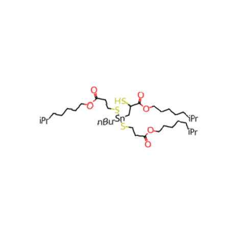 CCC[CH2][Sn]([CH2]C(S)C(=O)OCCCCCC(C)C)([S]CCC(=O)OCCCCCC(C)C)[S]CCC(=O)OCCCCCC(C)C